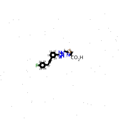 O=C(O)c1csc(Cn2nnc(-c3cccc(C#CCc4ccc(F)cc4)c3)n2)n1